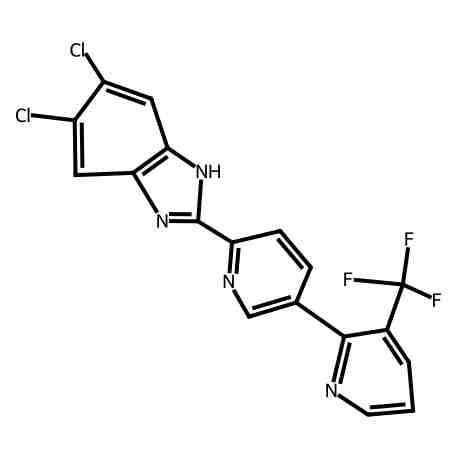 FC(F)(F)c1cccnc1-c1ccc(-c2nc3cc(Cl)c(Cl)cc3[nH]2)nc1